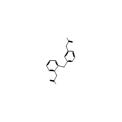 O=C(O)Cc1cccc(Cc2ccccc2CC(=O)O)c1